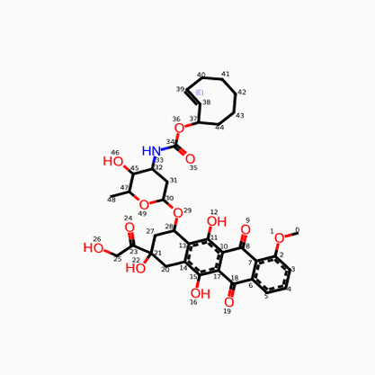 COc1cccc2c1C(=O)c1c(O)c3c(c(O)c1C2=O)CC(O)(C(=O)CO)CC3OC1CC(NC(=O)OC2/C=C/CCCCC2)C(O)C(C)O1